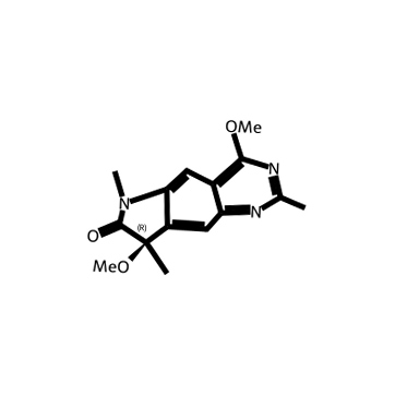 COc1nc(C)nc2cc3c(cc12)N(C)C(=O)[C@]3(C)OC